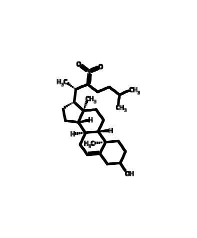 CC(C)CCC([C@@H](C)[C@H]1CC[C@H]2[C@@H]3CC=C4CC(O)CC[C@]4(C)[C@H]3CC[C@]12C)=S(=O)=O